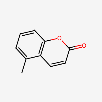 Cc1cc[c]c2oc(=O)ccc12